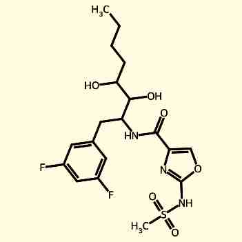 CCCCC(O)C(O)C(Cc1cc(F)cc(F)c1)NC(=O)c1coc(NS(C)(=O)=O)n1